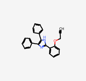 C#CCOc1ccccc1-c1nc(-c2ccccc2)c(-c2ccccc2)[nH]1